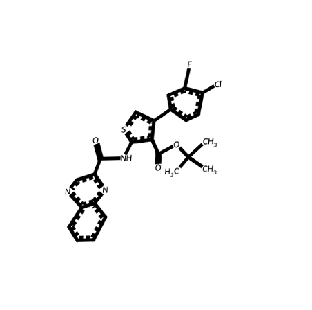 CC(C)(C)OC(=O)c1c(-c2ccc(Cl)c(F)c2)csc1NC(=O)c1cnc2ccccc2n1